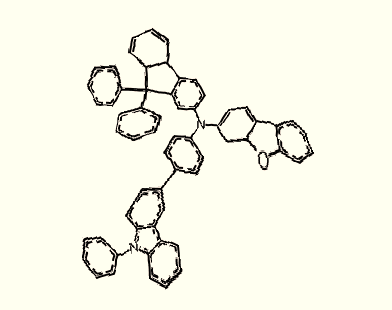 C1=CC2c3ccc(N(C4=CC=C5c6ccccc6OC5C4)c4ccc(-c5ccc6c(c5)c5ccccc5n6-c5ccccc5)cc4)cc3C(c3ccccc3)(c3ccccc3)C2C=C1